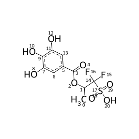 CC(OC(=O)c1cc(O)c(O)c(O)c1)C(F)(F)S(=O)(=O)O